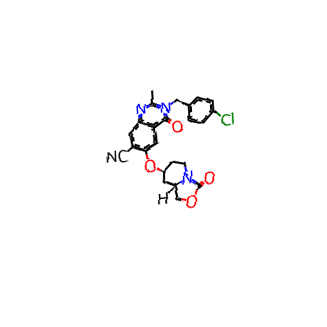 Cc1nc2cc(C#N)c(O[C@H]3CCN4C(=O)OC[C@@H]4C3)cc2c(=O)n1Cc1ccc(Cl)cc1